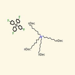 CCCCCCCCCCCCCCCCCC[N+](CCCCCCCCCCCCCCCCCC)(CCCCCCCCCCCCCCCCCC)CCCCCCCCCCCCCCCCCC.Fc1ccc([B-](c2ccc(F)cc2)(c2ccc(F)cc2)c2ccc(F)cc2)cc1